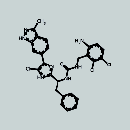 Cc1n[nH]c2cc(-c3nc([C@H](Cc4ccccc4)NC(=O)NCc4c(N)ccc(Cl)c4Cl)[nH]c3Cl)ccc12